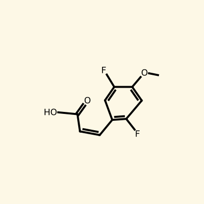 COc1cc(F)c(/C=C\C(=O)O)cc1F